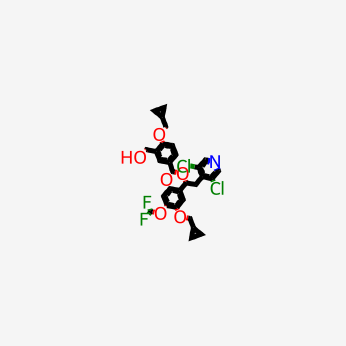 O=C(OC(Cc1c(Cl)cncc1Cl)c1ccc(OC(F)F)c(OCC2CC2)c1)c1ccc(OCC2CC2)c(CO)c1